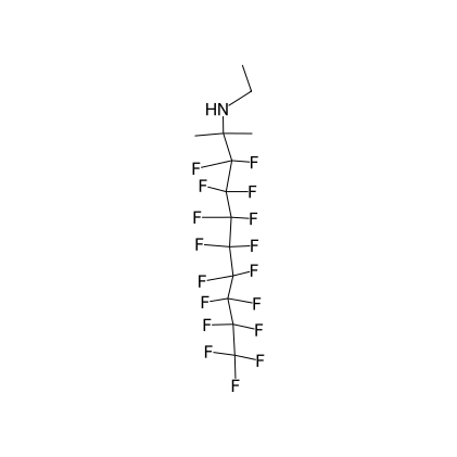 CCNC(C)(C)C(F)(F)C(F)(F)C(F)(F)C(F)(F)C(F)(F)C(F)(F)C(F)(F)C(F)(F)F